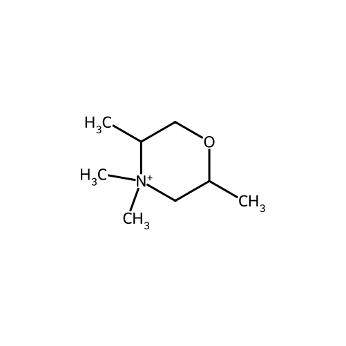 CC1C[N+](C)(C)C(C)CO1